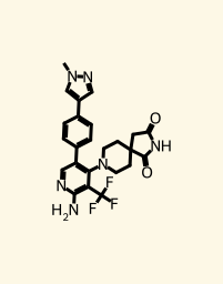 Cn1cc(-c2ccc(-c3cnc(N)c(C(F)(F)F)c3N3CCC4(CC3)CC(=O)NC4=O)cc2)cn1